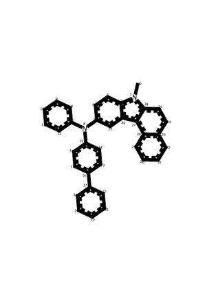 Cn1c2ccc(N(c3ccccc3)c3ccc(-c4ccccc4)cc3)cc2c2c3ccccc3ccc21